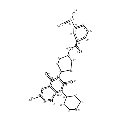 O=C(NC1CCC(n2c(=O)c3cc(F)cnc3n(C3CCSCC3)c2=O)CC1)c1cccc([N+](=O)[O-])c1